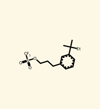 CCC(C)(C)c1cccc(CCCOS(=O)(=O)C(F)(F)F)c1